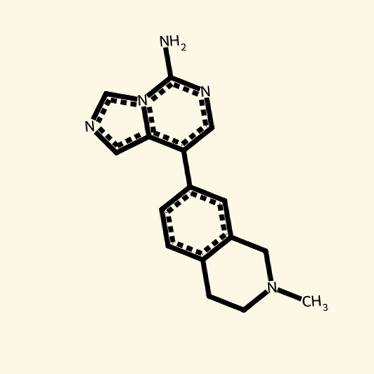 CN1CCc2ccc(-c3cnc(N)n4cncc34)cc2C1